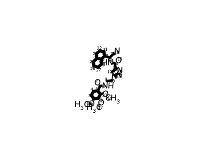 COc1ccc(C(=O)NCCn2cc(C(=O)NC(C#N)c3cccc4ccccc34)nn2)c(OC)c1OC